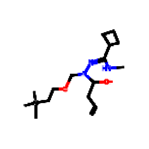 C=CCC(O)N(COCC[Si](C)(C)C)/N=C(\NC)C1CCC1